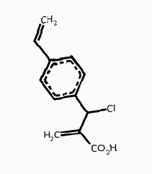 C=Cc1ccc(C(Cl)C(=C)C(=O)O)cc1